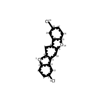 Clc1ccc2oc3cc4c(cc3c2c1)oc1ccc(Cl)cc14